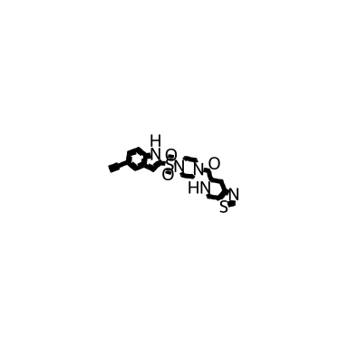 C#Cc1ccc2[nH]c(S(=O)(=O)N3CCN(C(=O)C4Cc5ncsc5CN4)CC3)cc2c1